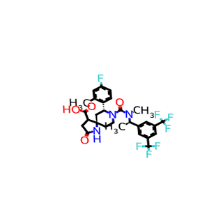 Cc1cc(F)ccc1[C@H]1C[C@@]2(CCN1C(=O)N(C)[C@H](C)c1cc(C(F)(F)F)cc(C(F)(F)F)c1)NC(=O)CC2C(=O)O